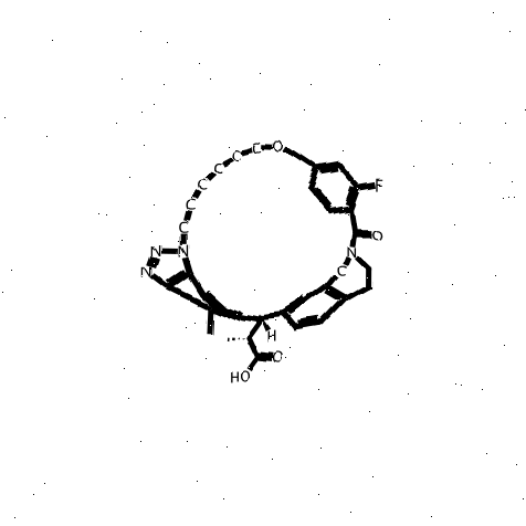 Cc1c2ccc3c1nnn3CCCCCCOc1ccc(c(F)c1)C(=O)N1CCc3ccc(cc3C1)[C@@H]2[C@@H](C)C(=O)O